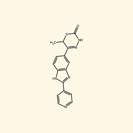 CC1SC(=O)NN=C1c1ccc2[nH]c(-c3ccncc3)nc2c1